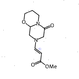 COC(=O)/C=C/N1CC(=O)N2CCCOC2C1